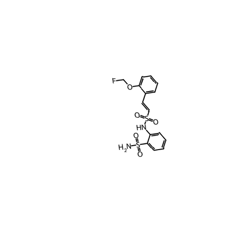 NS(=O)(=O)c1ccccc1NS(=O)(=O)/C=C/c1ccccc1OCF